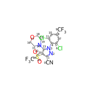 N#Cc1nn(-c2c(Cl)cc(C(F)(F)F)cc2Cl)c(N2CCOCC2)c1S(=O)(=O)C(F)(F)F